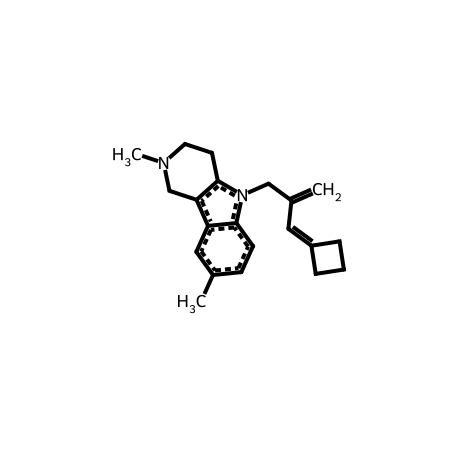 C=C(C=C1CCC1)Cn1c2c(c3cc(C)ccc31)CN(C)CC2